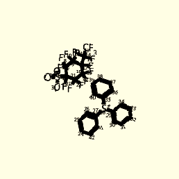 O=S(=O)([O-])C1(F)C(F)(F)C(F)(F)C(F)(C(F)(F)C(F)(F)F)C(F)(F)C1(F)F.c1ccc([S+](c2ccccc2)c2ccccc2)cc1